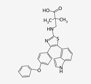 CC(C)(CNc1nc(-c2ccc(Oc3ccccc3)cc2)c(-c2cccc3[nH]ccc23)s1)C(=O)O